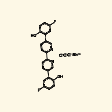 Oc1ccc(F)cc1-c1ccc(-c2ccc(-c3cc(F)ccc3O)cn2)nc1.[Cl-].[Cl-].[Cl-].[Mn+3]